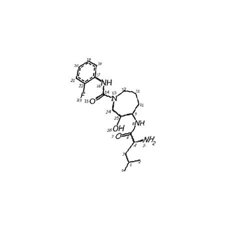 CC(C)C[C@H](N)C(=O)NC1CCCN(C(=O)Nc2ccccc2F)CC1O